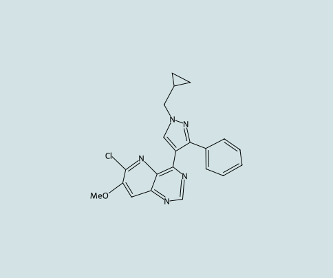 COc1cc2ncnc(-c3cn(CC4CC4)nc3-c3ccccc3)c2nc1Cl